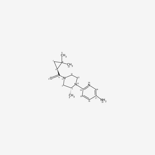 C[C@@H]1CN(C(=O)[C@H]2CC2(C)C)CCN1c1ccc(N)cn1